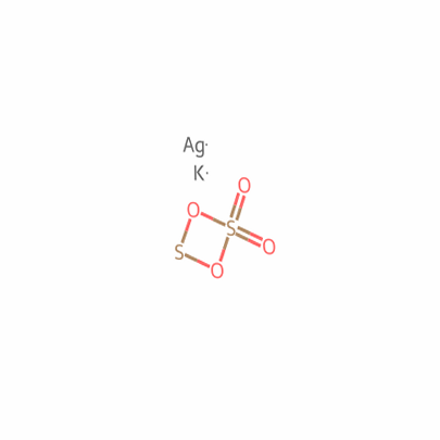 O=S1(=O)OSO1.[Ag].[K]